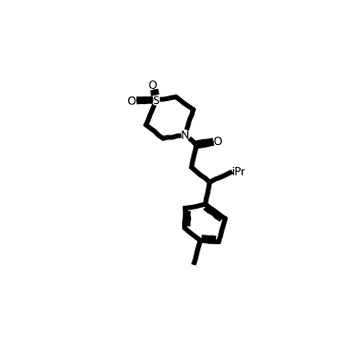 Cc1ccc(C(CC(=O)N2CCS(=O)(=O)CC2)C(C)C)cc1